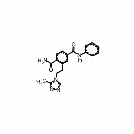 Cc1nncn1CCc1cc(C(=O)Nc2ccccc2)ccc1C(N)=O